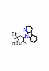 CCCCC(C)C(CC(C)(C)CC)n1c2ccccc2c2cccnc21